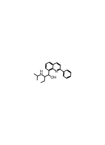 CCC(NC(C)C)C(O)c1cccc2ccc(-c3ccccc3)nc12